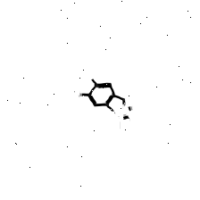 Nc1cc2c(cc1F)CS(=O)(=O)N2